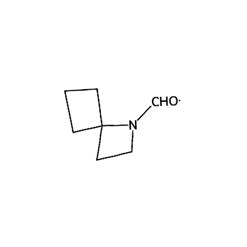 O=[C]N1CCC12CCC2